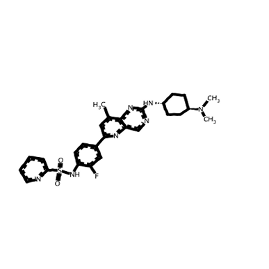 Cc1cc(-c2ccc(NS(=O)(=O)c3ccccn3)c(F)c2)nc2cnc(N[C@H]3CC[C@H](N(C)C)CC3)nc12